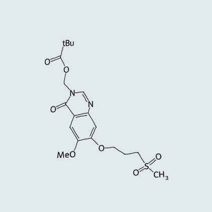 COc1cc2c(=O)n(COC(=O)C(C)(C)C)cnc2cc1OCCCS(C)(=O)=O